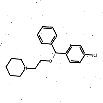 Clc1ccc([C@H](OCCN2CCCCC2)c2ccccc2)cc1